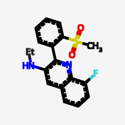 CCNc1cc2cccc(F)c2nc1-c1ccccc1S(C)(=O)=O